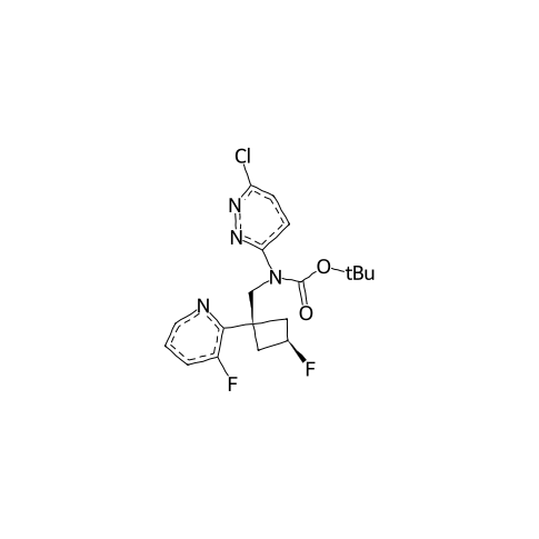 CC(C)(C)OC(=O)N(C[C@]1(c2ncccc2F)C[C@H](F)C1)c1ccc(Cl)nn1